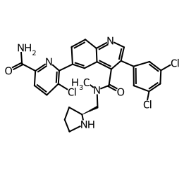 CN(C[C@@H]1CCCN1)C(=O)c1c(-c2cc(Cl)cc(Cl)c2)cnc2ccc(-c3nc(C(N)=O)ccc3Cl)cc12